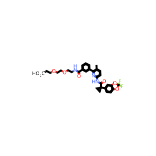 Cc1ccc(NC(=O)C2(c3ccc4c(c3)OC(F)(F)O4)CC2)nc1-c1cccc(C(=O)NCCOCCOCCC(=O)O)c1